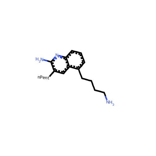 CCCCCc1cc2c(CCCCN)cccc2nc1N